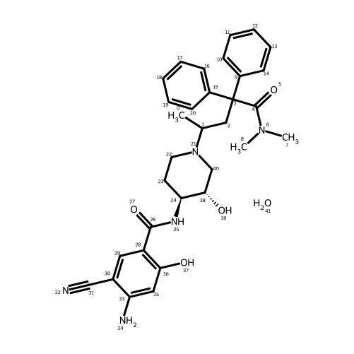 CC(CC(C(=O)N(C)C)(c1ccccc1)c1ccccc1)N1CC[C@H](NC(=O)c2cc(C#N)c(N)cc2O)[C@@H](O)C1.O